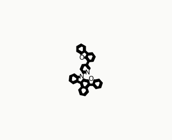 c1ccc2c(c1)oc1c(-c3ccc(-n4c5ccccc5c5c6ccccc6c6c7ccccc7oc6c54)nc3)cccc12